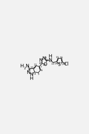 NC1=NNC2CC=C(c3nnc(NCc4ccc(Cl)s4)o3)C=C12